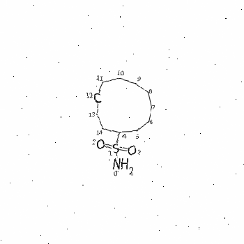 NS(=O)(=O)C1CCCCCCCCCC1